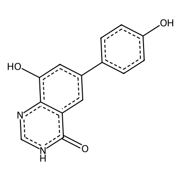 O=c1[nH]cnc2c(O)cc(-c3ccc(O)cc3)cc12